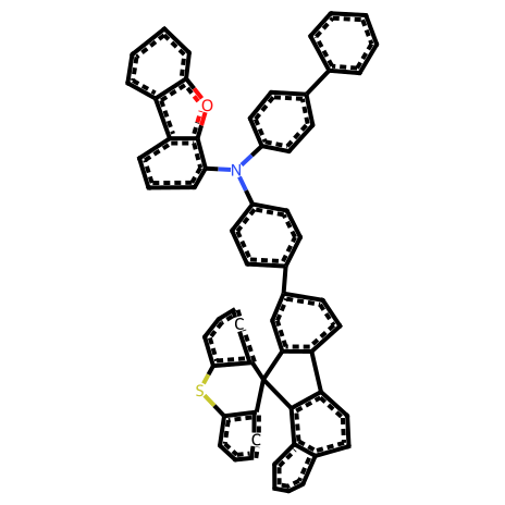 c1ccc(-c2ccc(N(c3ccc(-c4ccc5c(c4)C4(c6ccccc6Sc6ccccc64)c4c-5ccc5ccccc45)cc3)c3cccc4c3oc3ccccc34)cc2)cc1